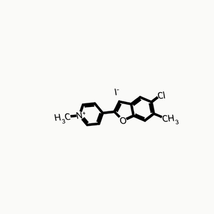 Cc1cc2oc(-c3cc[n+](C)cc3)cc2cc1Cl.[I-]